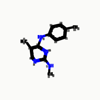 CNc1ncc(C)c(Nc2ccc(C)cc2)n1